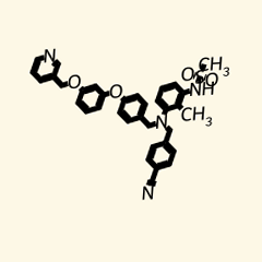 Cc1c(NS(C)(=O)=O)cccc1N(Cc1ccc(C#N)cc1)Cc1ccc(Oc2cccc(OCc3cccnc3)c2)cc1